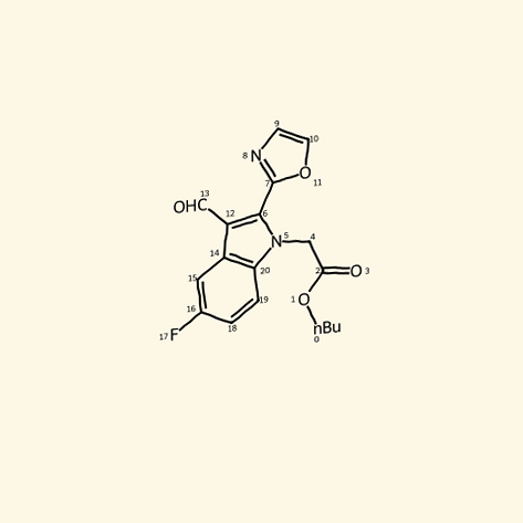 CCCCOC(=O)Cn1c(-c2ncco2)c(C=O)c2cc(F)ccc21